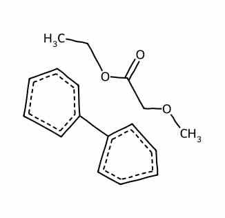 CCOC(=O)COC.c1ccc(-c2ccccc2)cc1